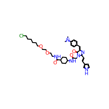 CN(C)c1ccc(/C=C2N=C(/C=C/c3cc[nH]c3)N(CC(=O)NC3CCC(C(=O)NCCOCCOCCCCCCCl)CC3)C/2=O)cc1